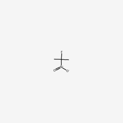 CC(C)(F)[N+](=O)[O-]